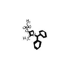 C[C@H]1[C@@H](OS(C)(=O)=O)CN1C(c1ccccc1)c1ccccc1